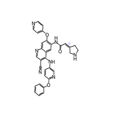 N#Cc1cnc2cc(Oc3ccncc3)c(NC(=O)/C=C3/CCNC3)cc2c1Nc1ccc(Oc2ccccc2)nc1